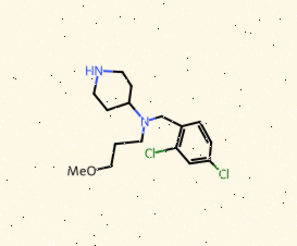 COCCCN(Cc1ccc(Cl)cc1Cl)C1CCNCC1